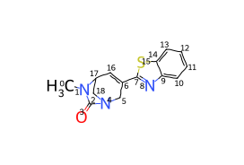 CN1C(=O)N2CC(c3nc4ccccc4s3)=CC1C2